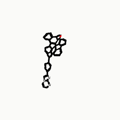 c1ccc2c(c1)-c1ccccc1C21c2c(ccc3cc(-c4ccc(-c5cn6cccnc6n5)cc4)ccc23)-c2c1c1ccccc1c1ccccc21